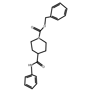 O=C(Nc1ccccc1)C1CCN(C(=O)OCc2ccccc2)CC1